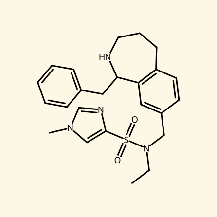 CCN(Cc1ccc2c(c1)C(Cc1ccccc1)NCCC2)S(=O)(=O)c1cn(C)cn1